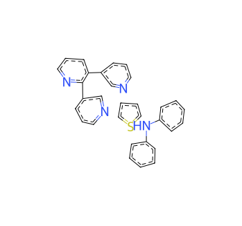 c1ccc(Nc2ccccc2)cc1.c1ccsc1.c1cncc(-c2cccnc2-c2cccnc2)c1